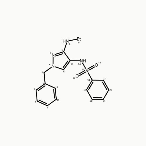 CCNc1nn(Cc2ccccc2)cc1NS(=O)(=O)c1ccccc1